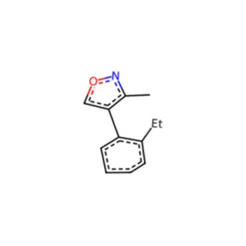 CCc1ccccc1-c1conc1C